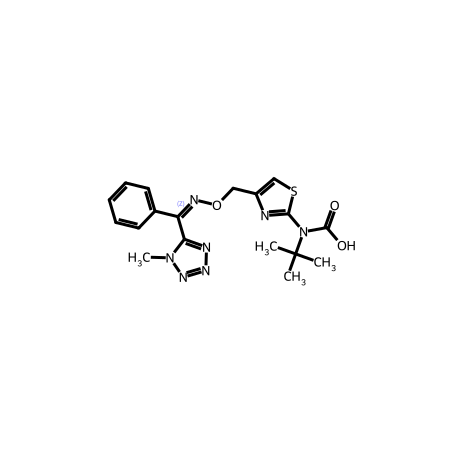 Cn1nnnc1/C(=N\OCc1csc(N(C(=O)O)C(C)(C)C)n1)c1ccccc1